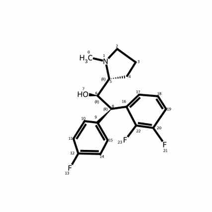 CN1CCC[C@@H]1[C@H](O)[C@H](c1ccc(F)cc1)c1cccc(F)c1F